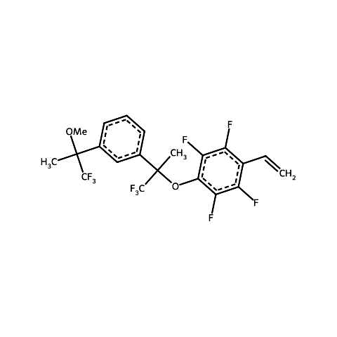 C=Cc1c(F)c(F)c(OC(C)(c2cccc(C(C)(OC)C(F)(F)F)c2)C(F)(F)F)c(F)c1F